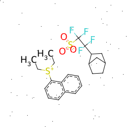 CC[S+](CC)c1cccc2ccccc12.O=S(=O)([O-])C(F)(F)C(F)(F)C1CC2CCC1C2